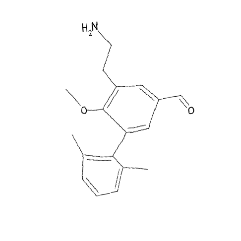 COc1c(CCN)cc(C=O)cc1-c1c(C)cccc1C